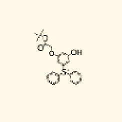 CC(C)(C)OC(=O)COc1cc(O)cc([S+](c2ccccc2)c2ccccc2)c1